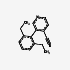 CCc1cccc(CC)c1-c1cnccc1C#N